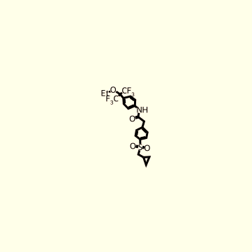 CCOC(c1ccc(NC(=O)Cc2ccc(S(=O)(=O)CC3CC3)cc2)cc1)(C(F)(F)F)C(F)(F)F